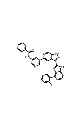 O=C(Nc1cncc(-c2cc3c(-c4nc5c(-c6ccccc6F)ccnc5[nH]4)n[nH]c3cn2)c1)c1ccccc1